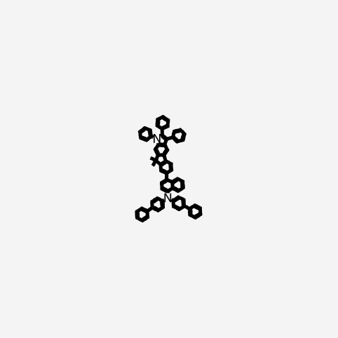 CC1(C)c2cc(-c3ccc(N(c4ccc(-c5ccccc5)cc4)c4ccc(-c5ccccc5)cc4)c4ccccc34)ccc2-c2cc3c(-c4ccccc4)c(-c4ccccc4)n(-c4ccccc4)c3cc21